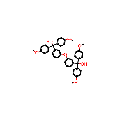 COc1ccc(C(O)(c2ccc(OC)cc2)c2cccc(Oc3cccc(C(O)(c4ccc(OC)cc4)c4ccc(OC)cc4)c3)c2)cc1